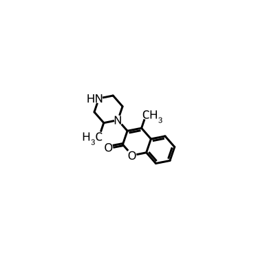 Cc1c(N2CCNCC2C)c(=O)oc2ccccc12